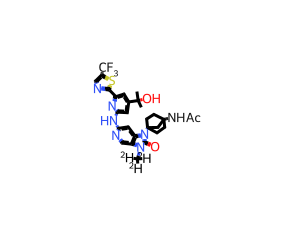 [2H]C([2H])([2H])n1c(=O)n(C23CCC(NC(C)=O)(CC2)C3)c2cc(Nc3cc(C(C)(C)O)cc(-c4ncc(C(F)(F)F)s4)n3)ncc21